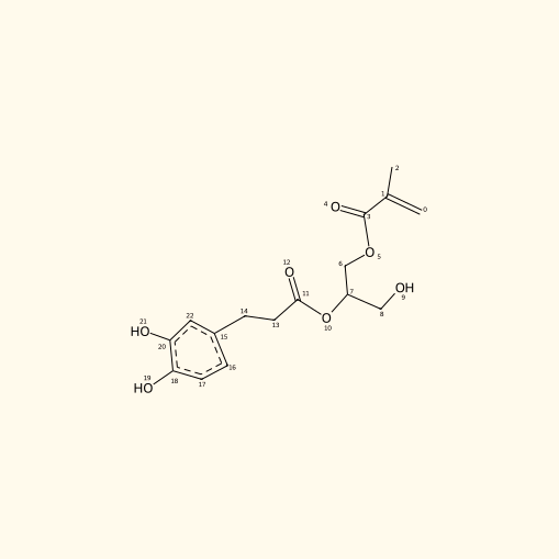 C=C(C)C(=O)OCC(CO)OC(=O)CCc1ccc(O)c(O)c1